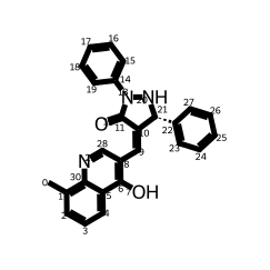 Cc1cccc2c(O)c(C=C3C(=O)N(c4ccccc4)N[C@@H]3c3ccccc3)cnc12